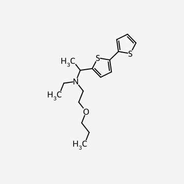 CCCOCCN(CC)C(C)c1ccc(-c2cccs2)s1